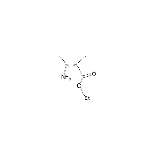 CCOC(=O)C(C)=C(C)N